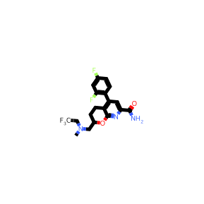 CN(CC1CCc2c(-c3ccc(F)cc3F)cc(C(N)=O)nc2O1)CC(F)(F)F